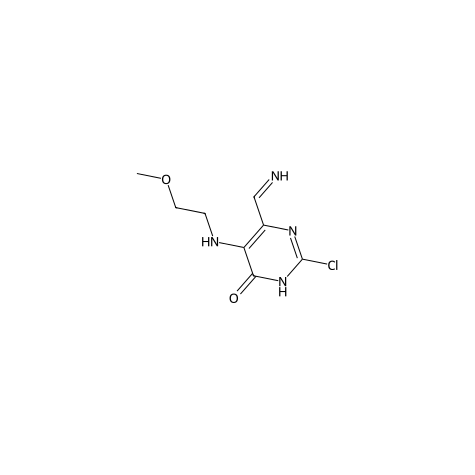 COCCNc1c(C=N)nc(Cl)[nH]c1=O